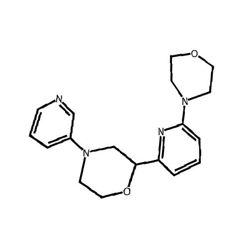 c1cncc(N2CCOC(c3cccc(N4CCOCC4)n3)C2)c1